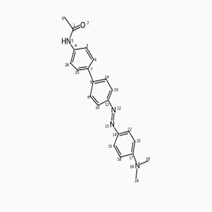 CC(=O)Nc1ccc(-c2ccc(/N=N/c3ccc(N(C)C)cc3)cc2)cc1